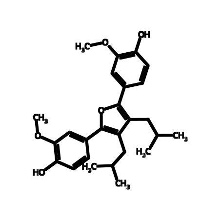 COc1cc(-c2oc(-c3ccc(O)c(OC)c3)c(CC(C)C)c2CC(C)C)ccc1O